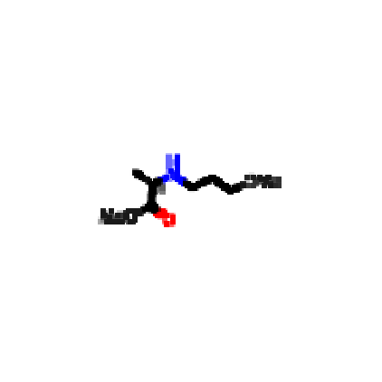 COCCCN[C@H](C)C(=O)OC